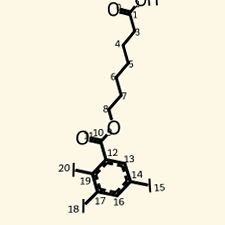 O=C(O)CCCCCCOC(=O)c1cc(I)cc(I)c1I